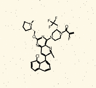 C=C(F)C(=O)N1CCN(c2nc(OC[C@@H]3CCCN3C)nc3cc(-c4cccc5cccc(Cl)c45)c(C)nc23)C[C@@H]1CC(F)(F)F